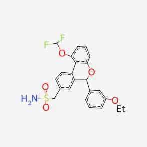 CCOc1cccc(C2Oc3cccc(OC(F)F)c3-c3ccc(CS(N)(=O)=O)cc32)c1